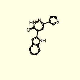 O=c1[nH]nc(-c2ccsc2)cc1-c1cc2ccccc2[nH]1